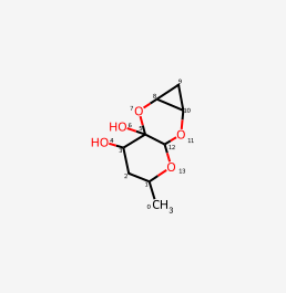 CC1CC(O)C2(O)OC3CC3OC2O1